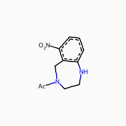 CC(=O)N1CCNc2cccc([N+](=O)[O-])c2C1